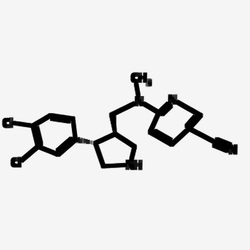 CN(C[C@H]1CNC[C@@H]1c1ccc(Cl)c(Cl)c1)c1ccc(C#N)cn1